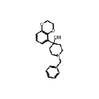 OC1(c2cccc3c2OCCO3)CCN(Cc2ccccc2)CC1